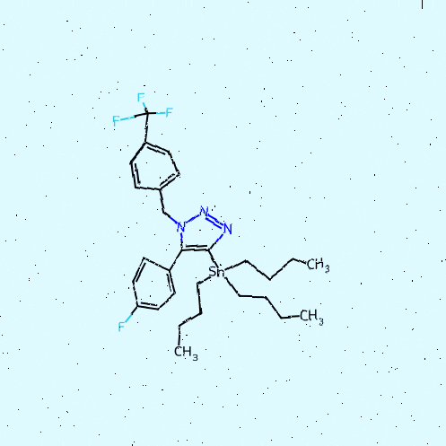 CCC[CH2][Sn]([CH2]CCC)([CH2]CCC)[c]1nnn(Cc2ccc(C(F)(F)F)cc2)c1-c1ccc(F)cc1